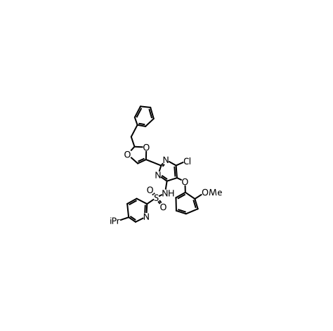 COc1ccccc1Oc1c(Cl)nc(C2=COC(Cc3ccccc3)O2)nc1NS(=O)(=O)c1ccc(C(C)C)cn1